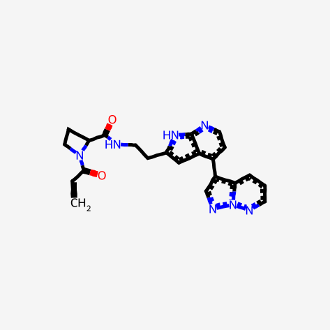 C=CC(=O)N1CCC1C(=O)NCCc1cc2c(-c3cnn4ncccc34)ccnc2[nH]1